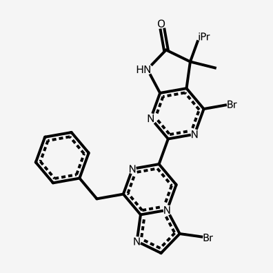 CC(C)C1(C)C(=O)Nc2nc(-c3cn4c(Br)cnc4c(Cc4ccccc4)n3)nc(Br)c21